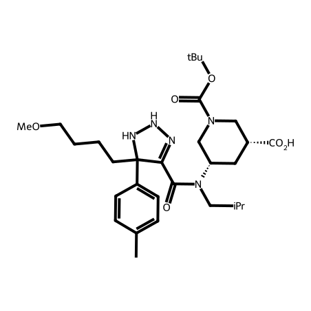 COCCCCC1(c2ccc(C)cc2)NNN=C1C(=O)N(CC(C)C)[C@H]1C[C@@H](C(=O)O)CN(C(=O)OC(C)(C)C)C1